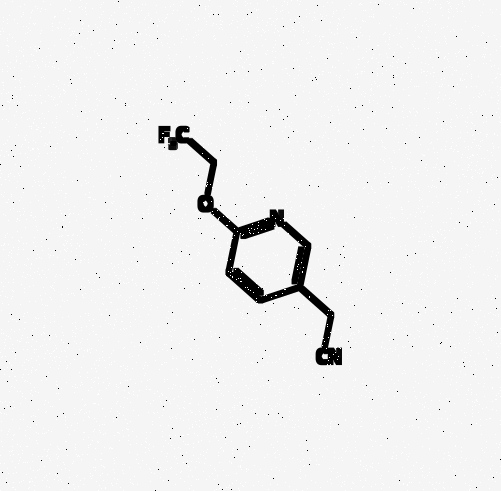 N#CCc1ccc(OCC(F)(F)F)nc1